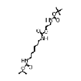 CC(C)OC(=O)NCCCCCCNC(=O)OCCNC(=O)OC(C)(C)C